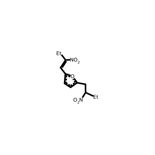 CCC(=Cc1ccc(CC(CC)[N+](=O)[O-])o1)[N+](=O)[O-]